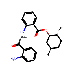 CC(C)[C@@H]1CC[C@@H](C)C[C@H]1OC(=O)c1ccccc1N.COC(=O)c1ccccc1N